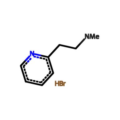 Br.CNCCc1ccccn1